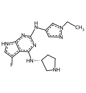 CCn1cc(Nc2nc(N[C@@H]3CCNC3)c3c(F)c[nH]c3n2)cn1